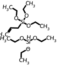 C=CC[Si](OCC)(OCC)OCC.CCO[SiH](OCC)OCC